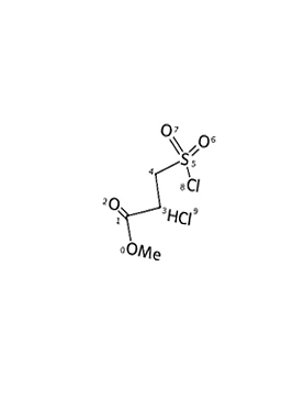 COC(=O)CCS(=O)(=O)Cl.Cl